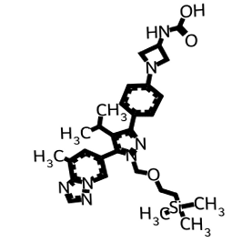 Cc1cc(-c2c(C(C)C)c(-c3ccc(N4CC(NC(=O)O)C4)cc3)nn2COCC[Si](C)(C)C)cn2ncnc12